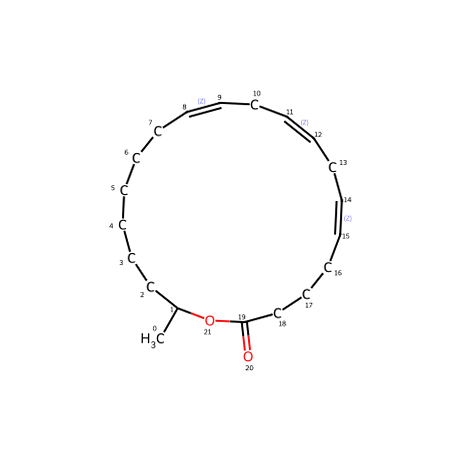 CC1CCCCCC/C=C\C/C=C\C/C=C\CCCC(=O)O1